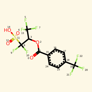 O=C(OC(C(F)(F)F)C(F)(F)S(=O)(=O)O)c1ccc(C(F)(F)F)cc1